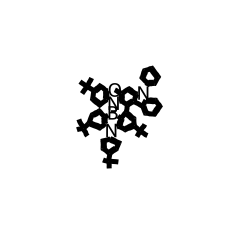 CC(C)(C)c1ccc(N2c3cc(C(C)(C)C)ccc3B3c4c(cc(C(C)(C)C)cc42)-c2c4c(cc5c2c2ccccc2n5-c2ccccc2)Oc2cc(C(C)(C)C)ccc2N34)cc1